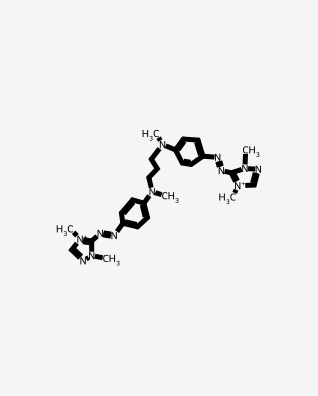 CN(CCCN(C)c1ccc(N=Nc2n(C)nc[n+]2C)cc1)c1ccc(N=Nc2n(C)nc[n+]2C)cc1